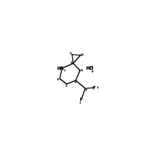 Cl.FC(F)C1CCNC2(CC2)C1